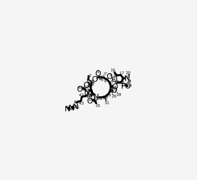 CC[C@H]1OC(=O)[C@H](C)C(=O)C[C@@H](O[C@@H]2OC(C)CC(N(C)C)C2P=O)[C@@](C)(OC)C[C@@H](C)CN(C(C)=O)[C@H](C)[C@H]2N(CCCCN=[N+]=[N-])C(=O)O[C@]12C